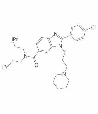 CC(C)CCN(CCC(C)C)C(=O)c1ccc2nc(-c3ccc(Cl)cc3)n(CCCN3CCCCC3)c2c1